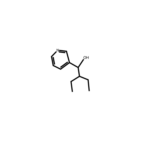 CCC(CC)C(O)c1cccnc1